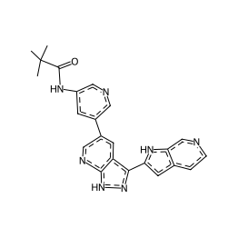 CC(C)(C)C(=O)Nc1cncc(-c2cnc3[nH]nc(-c4cc5ccncc5[nH]4)c3c2)c1